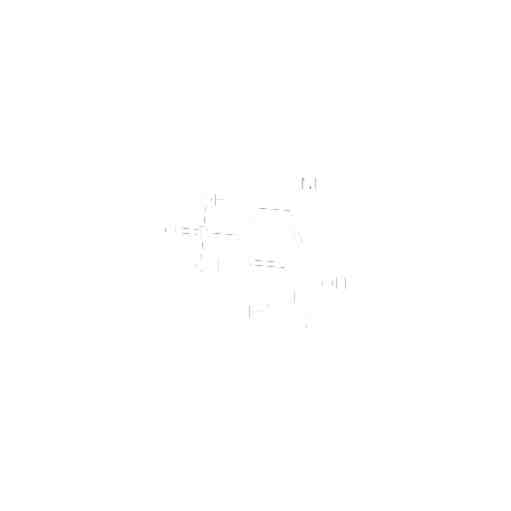 Nc1cc(P(=O)(O)O)cc(P(=O)(O)O)c1